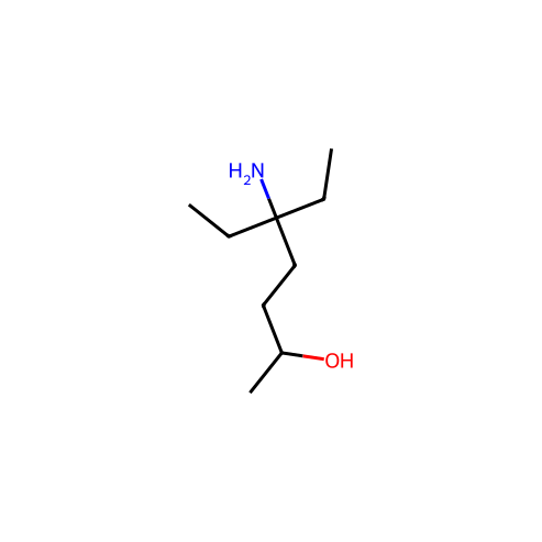 CCC(N)(CC)CCC(C)O